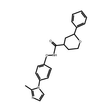 Cc1nccn1-c1ccc(ONC(=O)C2CCOC(c3ccccc3)C2)cc1